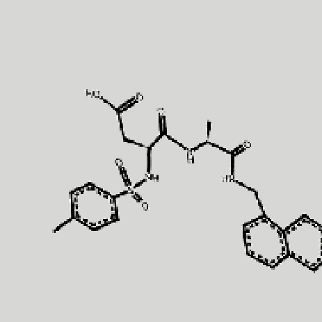 Cc1ccc(S(=O)(=O)N[C@@H](CC(=O)O)C(=O)N[C@@H](C)C(=O)NCc2cccc3ccccc23)cc1